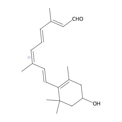 CC(C=C/C=C(/C)C=CC1=C(C)CC(O)CC1(C)C)=CC=O